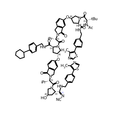 CC(=O)N(C)[C@H](C(=O)N1C[C@H](Oc2ccc3c(c2)C(=O)N([C@H](C(=O)N2C[C@H](Oc4ccc5c(c4)CN([C@H](C(=O)N4C[C@H](O)C[C@H]4/C(=N\C#N)NCc4ccc(-c6scnc6C)cc4)C(C)C)C5=O)C[C@H]2C(=O)NCc2ccc(C4CCCCC4)cc2)C(C)C)C3)C[C@H]1C(=O)NCc1ccc(-c2scnc2C)cc1)C(C)(C)C